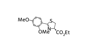 CCOC(=O)[C@@H]1CSC(c2ccc(OC)cc2OC)=N1